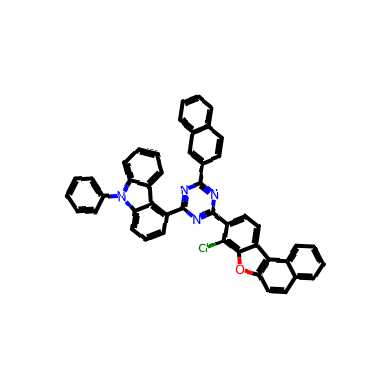 Clc1c(-c2nc(-c3ccc4ccccc4c3)nc(-c3cccc4c3c3ccccc3n4-c3ccccc3)n2)ccc2c1oc1ccc3ccccc3c12